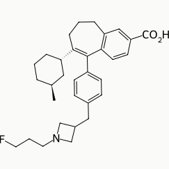 C[C@H]1CCC[C@H](C2=C(c3ccc(CC4CN(CCCF)C4)cc3)c3ccc(C(=O)O)cc3CCC2)C1